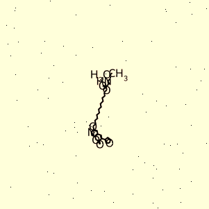 CC(C)CNCC(=O)OCCCCCCCCCCCCOc1cc2cc(-c3ccoc3)c(=O)oc2cn1